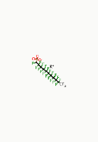 O=S(=O)([O-])C(F)C(F)(F)C(F)(F)C(F)(F)C(F)(F)C(F)(F)C(F)(F)C(F)(F)C(F)(F)C(F)(F)C(F)(F)F.[K+]